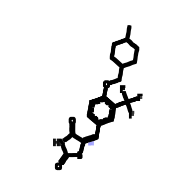 CC1CCC(COc2ccc(/C=C3/SC(=O)NC3=O)cc2C(F)(F)F)CC1